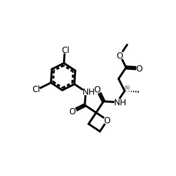 COC(=O)C[C@H](C)NC(=O)C1(C(=O)Nc2cc(Cl)cc(Cl)c2)CCO1